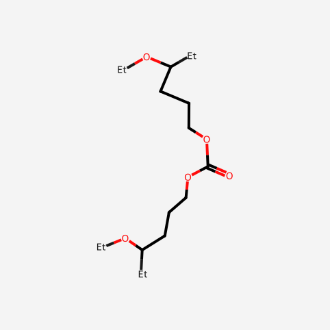 CCOC(CC)CCCOC(=O)OCCCC(CC)OCC